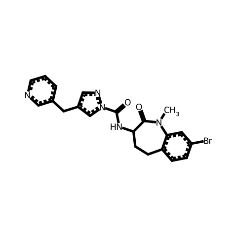 CN1C(=O)C(NC(=O)n2cc(Cc3cccnc3)cn2)CCc2ccc(Br)cc21